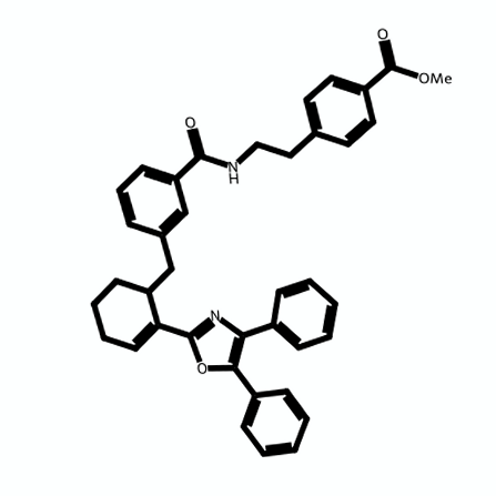 COC(=O)c1ccc(CCNC(=O)c2cccc(CC3CCCC=C3c3nc(-c4ccccc4)c(-c4ccccc4)o3)c2)cc1